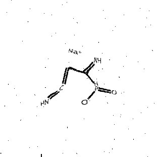 N=C=CC(=N)[PH](=O)[O-].[Na+]